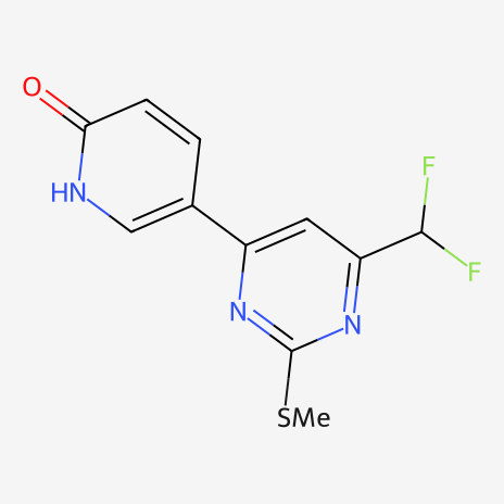 CSc1nc(-c2ccc(=O)[nH]c2)cc(C(F)F)n1